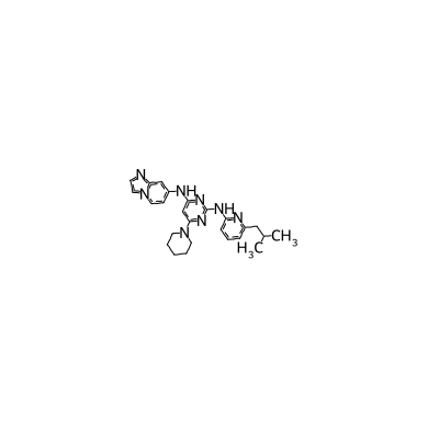 CC(C)Cc1cccc(Nc2nc(Nc3ccn4ccnc4c3)cc(N3CCCCC3)n2)n1